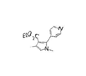 CCOC(=O)c1c(C)cn(C)c1-c1ccncc1